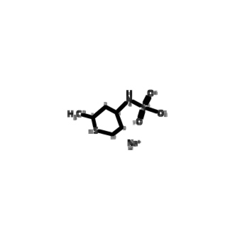 CC1CC(NS(=O)(=O)[O-])CCS1.[Na+]